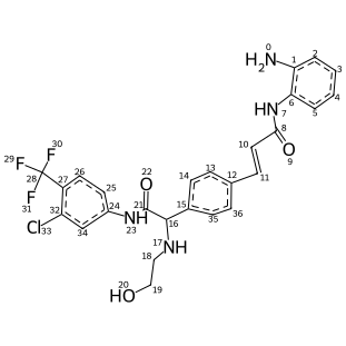 Nc1ccccc1NC(=O)C=Cc1ccc(C(NCCO)C(=O)Nc2ccc(C(F)(F)F)c(Cl)c2)cc1